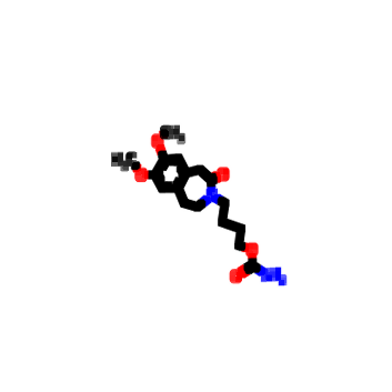 COc1cc2c(cc1OC)CC(=O)N(CCCCOC(N)=O)CC2